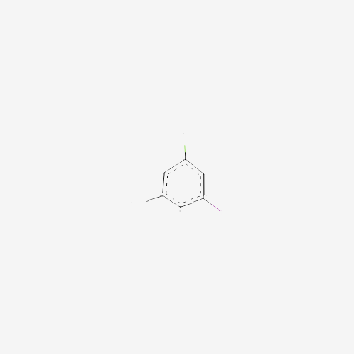 CCOC(=O)c1cc(F)cc(I)c1